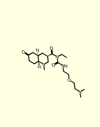 CCN(C(=O)NCCOCCN(C)C)C(=O)[C@@H]1C[C@@H]2CC(=O)CC[C@H]2N(C)C1